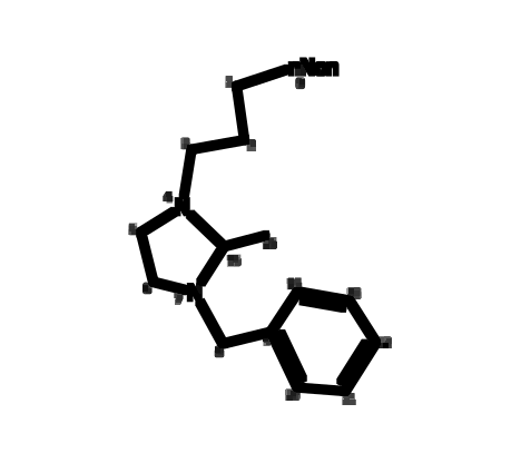 CCCCCCCCCCCCN1CCN(Cc2ccccc2)C1C